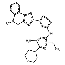 COc1nc(N2CCOCC2)c(N)cc1Nc1nccc(-n2cc3c(n2)-c2ccccc2N(C)C3)n1